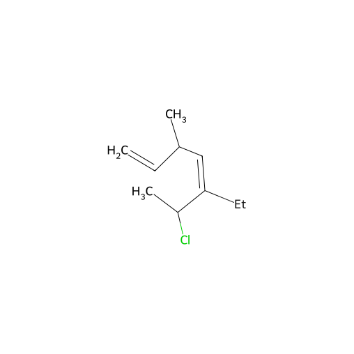 C=CC(C)C=C(CC)C(C)Cl